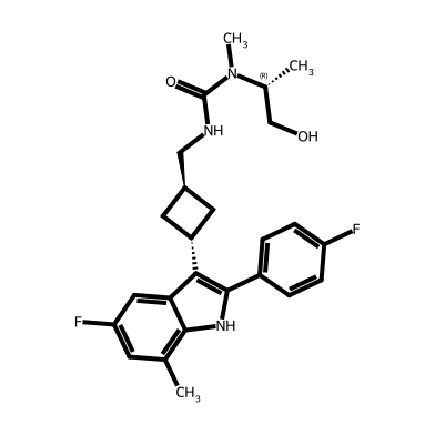 Cc1cc(F)cc2c1[nH]c(-c1ccc(F)cc1)c2[C@H]1C[C@H](CNC(=O)N(C)[C@H](C)CO)C1